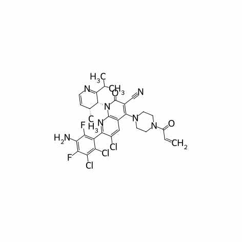 C=CC(=O)N1CCN(c2c(C#N)c(=O)n([C@H]3C(C(C)C)=NC=C[C@H]3C)c3nc(-c4c(F)c(N)c(F)c(Cl)c4Cl)c(Cl)cc23)CC1